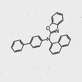 c1ccc(-c2ccc(N(c3nc4ccccc4o3)c3cccc4ccccc34)cc2)cc1